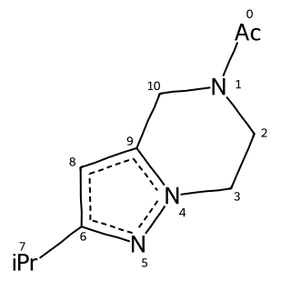 CC(=O)N1CCn2nc(C(C)C)cc2C1